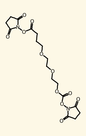 O=C(CCCOCCOCCOC(=O)ON1C(=O)CCC1=O)ON1C(=O)CCC1=O